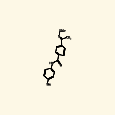 CON=C(C)c1ccc(C(=O)Nc2ccc(C(C)(C)C)cc2)cc1